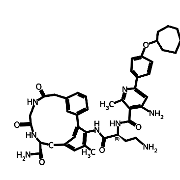 Cc1cc2cc(c1NC(=O)[C@H](CCN)NC(=O)c1c(N)cc(-c3ccc(OC4CCCCCC4)cc3)nc1C)-c1cccc(c1)CC(=O)NCC(=O)NC(C(N)=O)C2